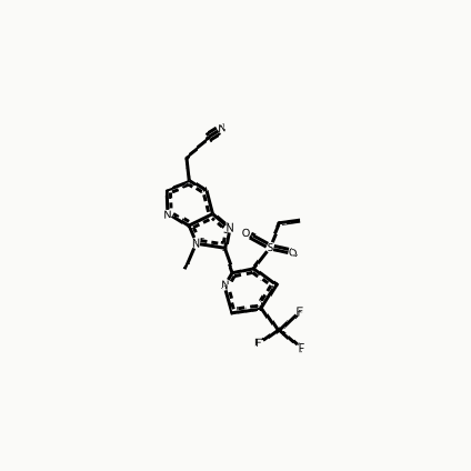 CCS(=O)(=O)c1cc(C(F)(F)F)cnc1-c1nc2cc(CC#N)cnc2n1C